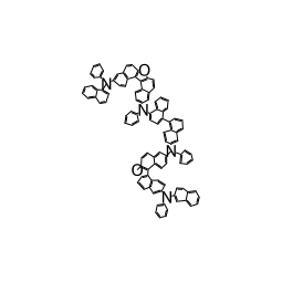 c1ccc(N(c2ccc3ccccc3c2)c2ccc3c(ccc4oc5ccc6cc(N(c7ccccc7)c7ccc8c(-c9ccc(N(c%10ccccc%10)c%10ccc%11c(ccc%12oc%13ccc%14cc(N(c%15ccccc%15)c%15cccc%16ccccc%15%16)ccc%14c%13c%12%11)c%10)c%10ccccc9%10)cccc8c7)ccc6c5c43)c2)cc1